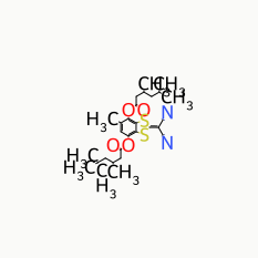 Cc1cc(OC(=O)CC(C)CC(C)(C)C)c2c(c1OC(=O)CC(C)CC(C)C)SC(=C(C#N)C#N)S2